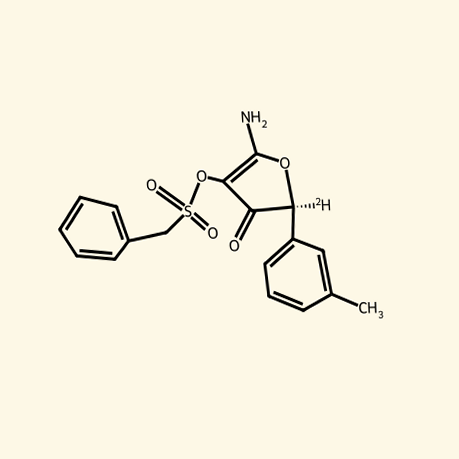 [2H][C@@]1(c2cccc(C)c2)OC(N)=C(OS(=O)(=O)Cc2ccccc2)C1=O